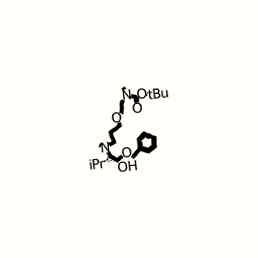 CC(C)[C@@H](C(O)OCc1ccccc1)N(C)CCCOCCN(C)C(=O)OC(C)(C)C